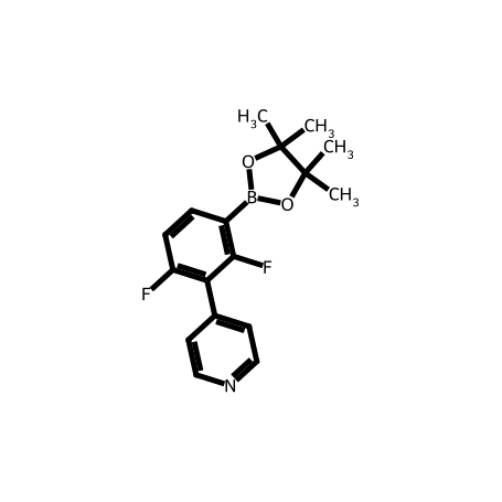 CC1(C)OB(c2ccc(F)c(-c3ccncc3)c2F)OC1(C)C